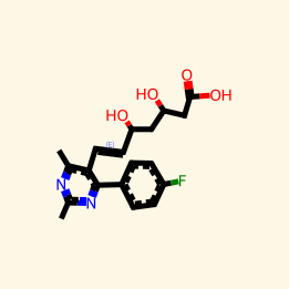 Cc1nc(C)c(/C=C/C(O)CC(O)CC(=O)O)c(-c2ccc(F)cc2)n1